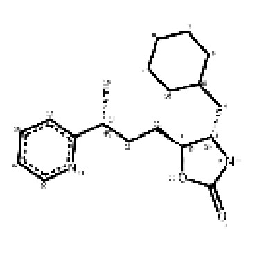 O=C1N[C@@H](CC2CCCCC2)[C@H](CC[C@@H](F)c2ccccn2)O1